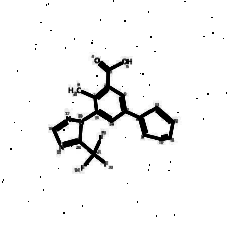 Cc1c(C(=O)O)cc(-c2ccccc2)cc1-n1ncnc1C(F)(F)F